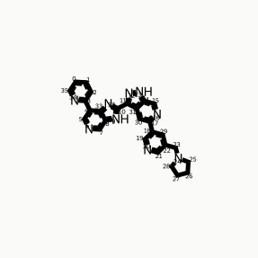 c1ccc(-c2cncc3[nH]c(-c4n[nH]c5cnc(-c6cncc(CN7CCCC7)c6)cc45)nc23)nc1